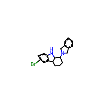 Brc1ccc2c(c1)C1CCCC(N3Cc4ccccc4C3)C1N2